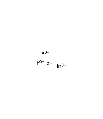 [Fe+3].[In+3].[P-3].[P-3]